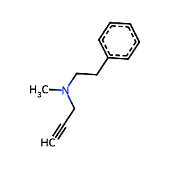 C#CCN(C)CCc1ccccc1